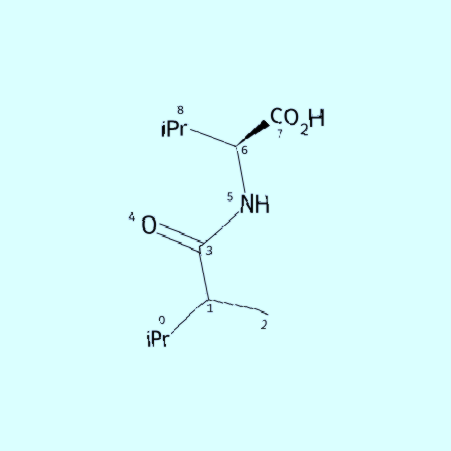 CC(C)C(C)C(=O)N[C@H](C(=O)O)C(C)C